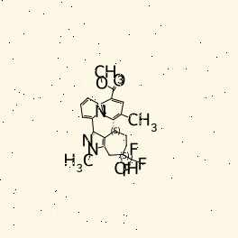 COC(=O)c1ccc([C@@H]2CC[C@@](O)(C(F)(F)F)Cc3c2c(-c2ccccn2)nn3C)c(C)c1